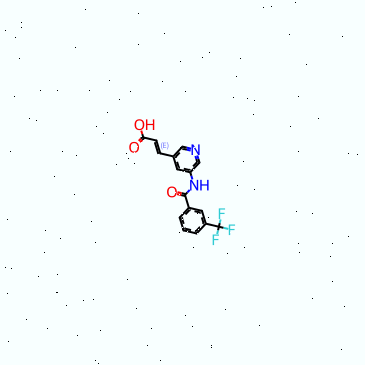 O=C(O)/C=C/c1cncc(NC(=O)c2cccc(C(F)(F)F)c2)c1